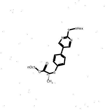 CCCCCCCCOC(=O)[C@@H](C)Sc1ccc(-c2cnc(SCCCCCC)nc2)cc1